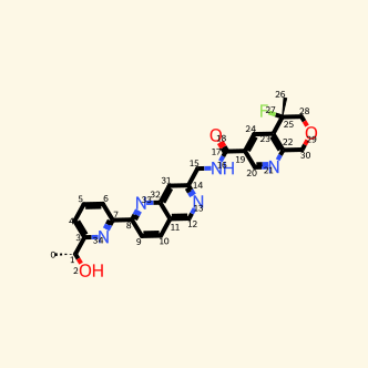 C[C@@H](O)c1cccc(-c2ccc3cnc(CNC(=O)c4cnc5c(c4)[C@](C)(F)COC5)cc3n2)n1